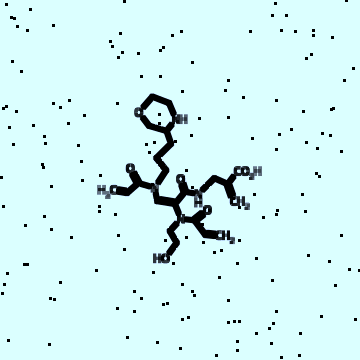 C=CC(=O)N(C=C(C(=O)NCC(=C)C(=O)O)N(CCO)C(=O)C=C)CCCC1COCCN1